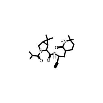 C#CC(CC1CCC(C)(C)NC1=O)NC(=O)C1C2C(CN1C(=O)C(C)C)C2(C)C